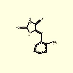 O=C1NC(=O)/C(=C/c2ccccc2[N+](=O)[O-])S1